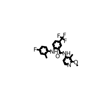 COc1nccc(NC(=O)c2cc(C(F)(F)F)ccc2Nc2ccc(F)cc2C)c1C